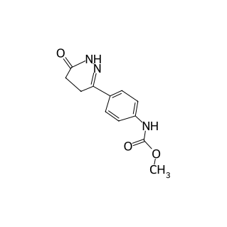 COC(=O)Nc1ccc(C2=NNC(=O)CC2)cc1